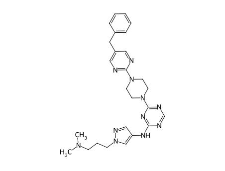 CN(C)CCCn1cc(Nc2ncnc(N3CCN(c4ncc(Cc5ccccc5)cn4)CC3)n2)cn1